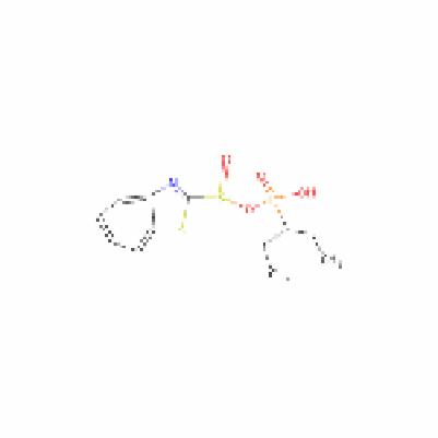 CCC(CC)P(=O)(O)OS(=O)c1nc2ccccc2s1